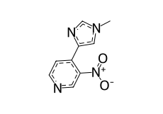 Cn1cnc(-c2ccncc2[N+](=O)[O-])c1